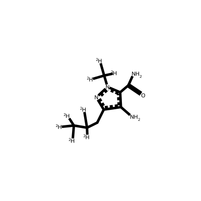 [2H]C([2H])([2H])n1nc(CC([2H])([2H])C([2H])([2H])[2H])c(N)c1C(N)=O